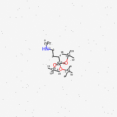 CCCNCCC[Si](O[Si](C)(C)C)(O[Si](C)(C)C)O[Si](C)(C)C